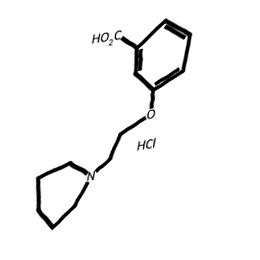 Cl.O=C(O)c1cccc(OCCN2CCCCC2)c1